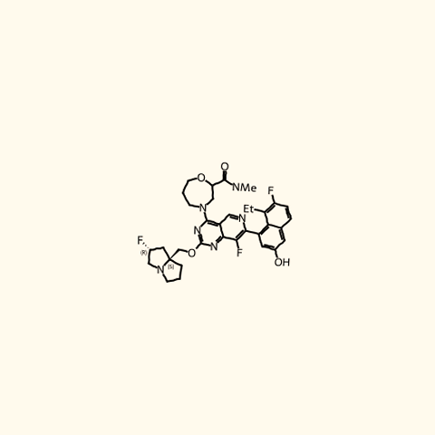 CCc1c(F)ccc2cc(O)cc(-c3ncc4c(N5CCCOC(C(=O)NC)C5)nc(OC[C@@]56CCCN5C[C@H](F)C6)nc4c3F)c12